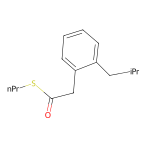 CCCSC(=O)Cc1ccccc1CC(C)C